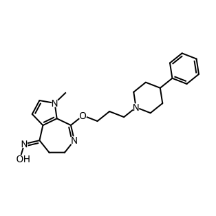 Cn1ccc2c1C(OCCCN1CCC(c3ccccc3)CC1)=NCCC2=NO